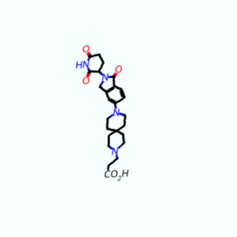 O=C(O)CCN1CCC2(CC1)CCN(c1ccc3c(c1)CN(C1CCC(=O)NC1=O)C3=O)CC2